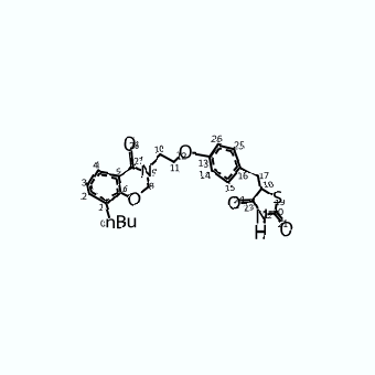 CCCCc1cccc2c1OCN(CCOc1ccc(CC3SC(=O)NC3=O)cc1)C2=O